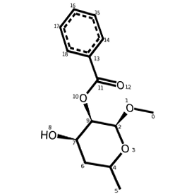 CO[C@H]1OC(C)C[C@@H](O)[C@H]1OC(=O)c1ccccc1